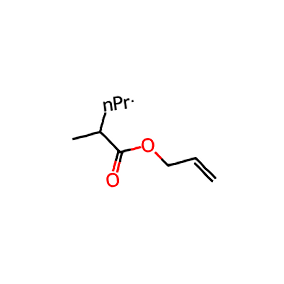 C=CCOC(=O)C(C)[CH]CC